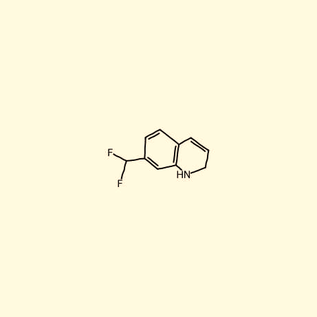 FC(F)c1ccc2c(c1)NCC=C2